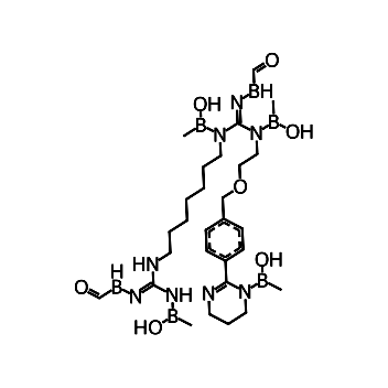 CB(O)N/C(=N/BC=O)NCCCCCCCN(B(C)O)/C(=N/BC=O)N(CCOCc1ccc(C2=NCCCN2B(C)O)cc1)B(C)O